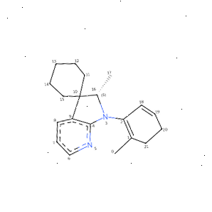 CC1=C(N2c3ncccc3C3(CCCCC3)[C@@H]2C)C=CCC1